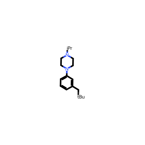 CC(C)N1CCN(c2cccc(CC(C)(C)C)c2)CC1